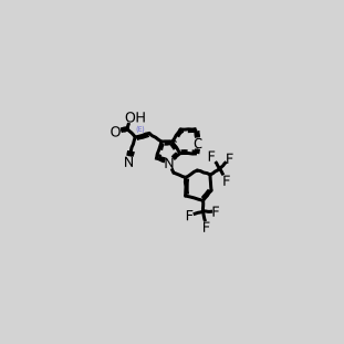 N#C/C(=C\c1cn(CC2=CC(C(F)(F)F)=CC(C(F)(F)F)C2)c2ccccc12)C(=O)O